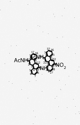 CC(=O)Nc1cc2c3ccccc3c(N)cc2c2ccccc12.CC(=O)Nc1cc2c3ccccc3c([N+](=O)[O-])cc2c2ccccc12